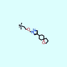 C[Si](C)(C)CCOCn1cc(C2CCC3(CCCO3)CC2)cn1